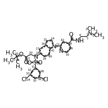 CN(C)CCNC(=O)c1ccnc(-n2ccc3cc(N(CC(=O)OC(C)(C)C)S(=O)(=O)c4cc(Cl)cc(Cl)c4)ccc32)c1